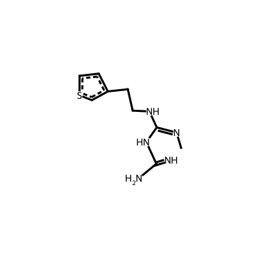 C/N=C(/NCCc1ccsc1)NC(=N)N